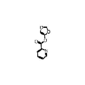 O=C(OC1=COCO1)c1ccccn1